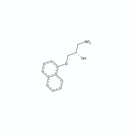 O=[N+]([O-])C[C@H](O)COc1cccc2ccccc12